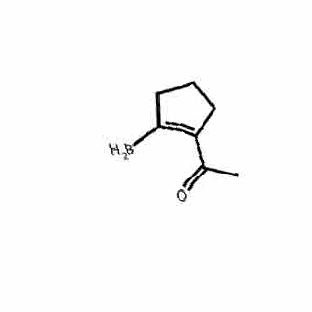 BC1=C(C(C)=O)CCC1